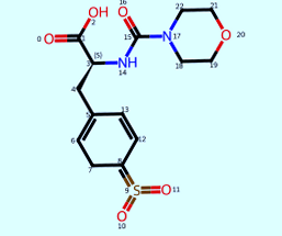 O=C(O)[C@H](CC1=CCC(=S(=O)=O)C=C1)NC(=O)N1CCOCC1